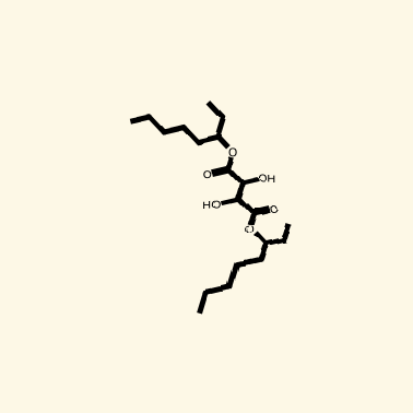 CCCCCC(CC)OC(=O)C(O)C(O)C(=O)OC(CC)CCCCC